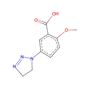 COc1ccc(N2CCN=N2)cc1C(=O)O